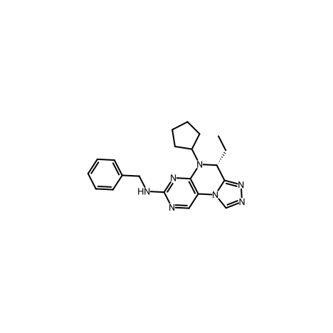 CC[C@@H]1c2nncn2-c2cnc(NCc3ccccc3)nc2N1C1CCCC1